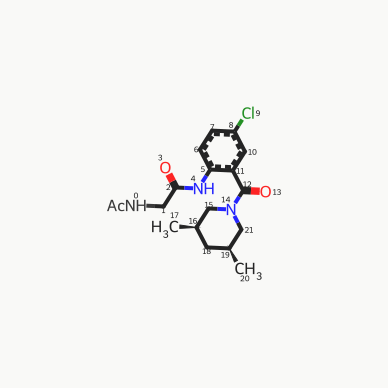 CC(=O)NCC(=O)Nc1ccc(Cl)cc1C(=O)N1C[C@H](C)C[C@H](C)C1